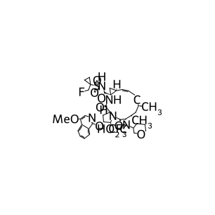 COc1cnc(O[C@@H]2C[C@H]3C(=O)N[C@]4(C(=O)NS(=O)(=O)C5(CF)CC5)C[C@H]4/C=C\CC[C@@H](C)C[C@@H](C)[C@H](N(C(=O)O)C4CCCOC4)C(=O)N3C2C(F)(F)F)c2ccccc12